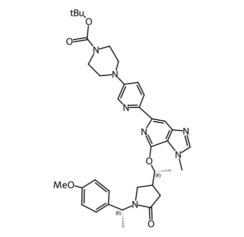 COc1ccc([C@@H](C)N2CC([C@@H](C)Oc3nc(-c4ccc(N5CCN(C(=O)OC(C)(C)C)CC5)cn4)cc4ncn(C)c34)CC2=O)cc1